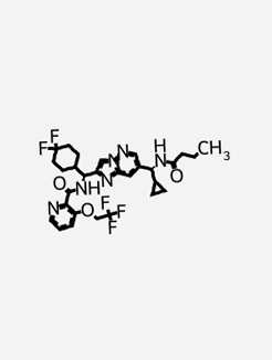 CCCC(=O)N[C@@H](c1cnn2cc([C@@H](NC(=O)c3ncccc3OCC(F)(F)F)C3CCC(F)(F)CC3)nc2c1)C1CC1